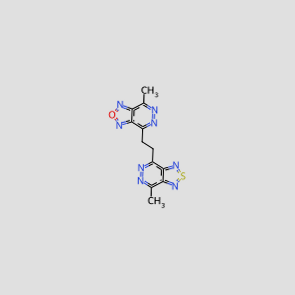 Cc1nnc(CCc2nnc(C)c3nsnc23)c2nonc12